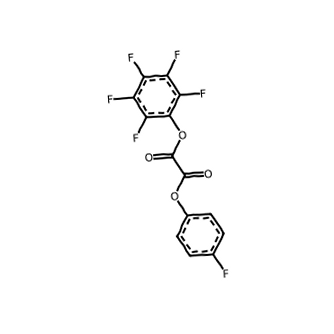 O=C(Oc1ccc(F)cc1)C(=O)Oc1c(F)c(F)c(F)c(F)c1F